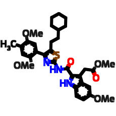 COC(=O)Cc1c(C(=O)Nc2nc(-c3cc(OC)c(C)cc3OC)c(CCC3CCCCC3)s2)[nH]c2ccc(OC)cc12